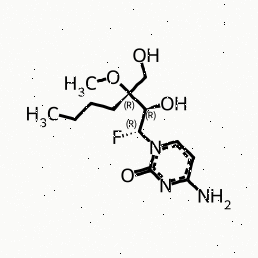 CCCC[C@](CO)(OC)[C@@H](O)[C@@H](F)n1ccc(N)nc1=O